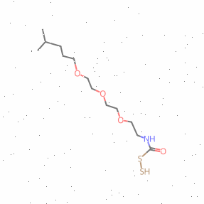 CC(C)CCCOCCOCCOCCNC(=O)SS